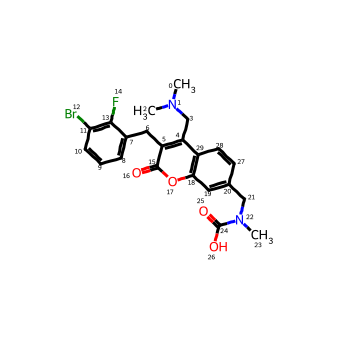 CN(C)Cc1c(Cc2cccc(Br)c2F)c(=O)oc2cc(CN(C)C(=O)O)ccc12